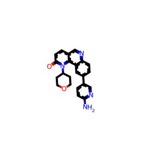 Nc1ccc(-c2ccc3ncc4ccc(=O)n(C5CCOCC5)c4c3c2)cn1